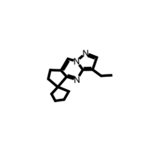 CCc1cnn2cc3c(nc12)C1(CCCC1)CC3